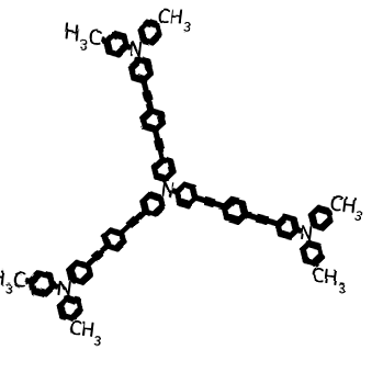 CC1=CCC(N(c2ccc(C)cc2)c2ccc(C#Cc3ccc(C#Cc4ccc(N(c5ccc(C#Cc6ccc(C#Cc7ccc(N(c8ccc(C)cc8)c8ccc(C)cc8)cc7)cc6)cc5)C5C=CC(C#Cc6ccc(C#Cc7ccc(N(c8ccc(C)cc8)c8ccc(C)cc8)cc7)cc6)=CC5)cc4)cc3)cc2)C=C1